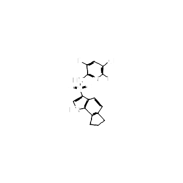 O=S(=O)(Nc1nc(F)c(Cl)cc1F)c1c[nH]c2c3c(ccc12)CCC3